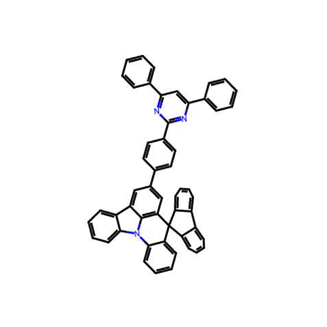 c1ccc(-c2cc(-c3ccccc3)nc(-c3ccc(-c4cc5c6c(c4)c4ccccc4n6-c4ccccc4C54c5ccccc5-c5ccccc54)cc3)n2)cc1